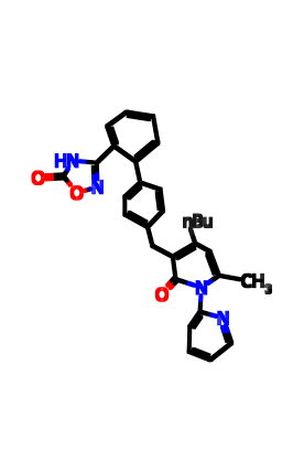 CCCCc1cc(C)n(-c2ccccn2)c(=O)c1Cc1ccc(-c2ccccc2-c2noc(=O)[nH]2)cc1